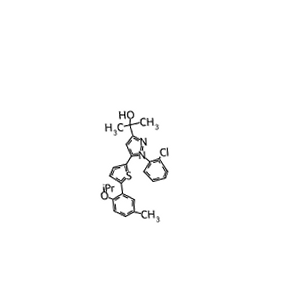 Cc1ccc(OC(C)C)c(-c2ccc(-c3cc(C(C)(C)O)nn3-c3ccccc3Cl)s2)c1